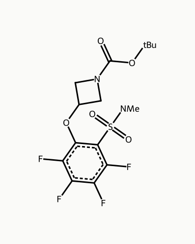 CNS(=O)(=O)c1c(F)c(F)c(F)c(F)c1OC1CN(C(=O)OC(C)(C)C)C1